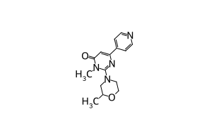 CC1CN(c2nc(-c3ccncc3)cc(=O)n2C)CCO1